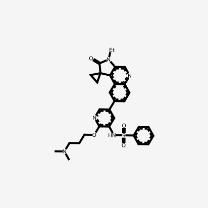 CCN1C(=O)C2(CC2)c2c1cnc1ccc(-c3cnc(OCCCN(C)C)c(NS(=O)(=O)c4ccccc4)c3)cc21